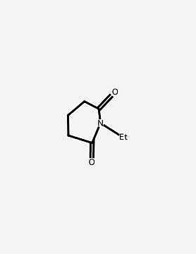 CCN1C(=O)CCCC1=O